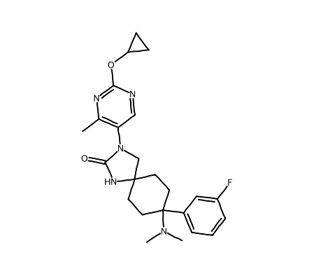 Cc1nc(OC2CC2)ncc1N1CC2(CCC(c3cccc(F)c3)(N(C)C)CC2)NC1=O